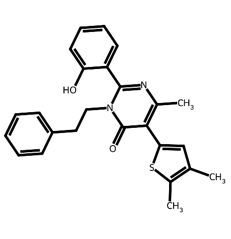 Cc1cc(-c2c(C)nc(-c3ccccc3O)n(CCc3ccccc3)c2=O)sc1C